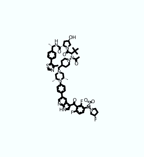 CC(=O)N([C@H](C(=O)N1C[C@H](O)C[C@H]1C(=O)N[C@@H](C)c1ccc(-c2scnc2C)cc1)C(C)(C)C)N1CCC(CN2C[C@@H](C)N(c3ccc(-c4cnc5[nH]cc(C(=O)c6c(F)ccc(N(N7CC[C@@H](F)C7)[SH](=O)=O)c6F)c5c4)cc3)[C@@H](C)C2)CC1